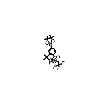 CC(C)(C)c1cc(B2OC(C)(C)C(C)(C)O2)ccc1S(=O)(=O)NCC(F)(F)F